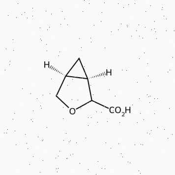 O=C(O)C1OC[C@H]2C[C@@H]12